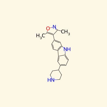 Cc1noc(C)c1-c1ccc2c(c1)[nH]c1ccc(C3CCNCC3)cc12